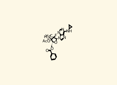 CC(=O)O[C@@]1(C)[C@@H](COC(=O)c2ccccc2)O[C@@H](n2cnc3c(NC4CC4)ncnc32)[C@]1(C)F